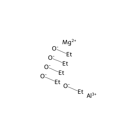 CC[O-].CC[O-].CC[O-].CC[O-].CC[O-].[Al+3].[Mg+2]